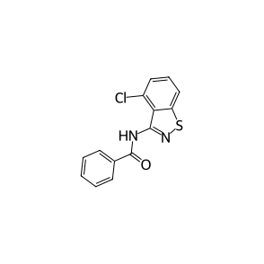 O=C(Nc1nsc2cccc(Cl)c12)c1ccccc1